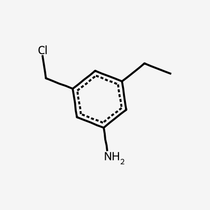 CCc1cc(N)cc(CCl)c1